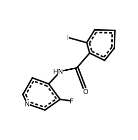 O=C(Nc1ccncc1F)c1ccccc1I